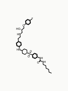 CCCCCCNC(=O)Nc1ccc(S(=O)(=O)N2CCC(Nc3ccc(CCNC[C@H](O)COc4ccc(F)cc4)cc3)CC2)cc1